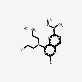 CCCN(CCC)c1nc(Cl)nc2cnc(N(C)OC)nc12.Cl